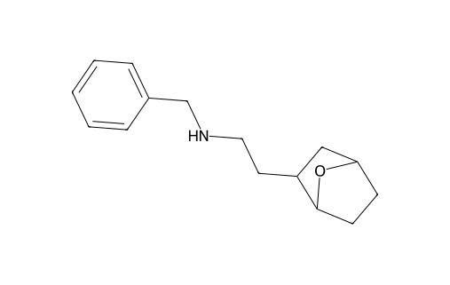 c1ccc(CNCCC2CC3CCC2O3)cc1